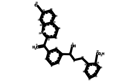 C=C(c1cccc(C(O)CCc2ccccc2C(=O)O)c1)c1ccc2ccc(Cl)cc2n1